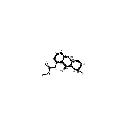 COC(=O)Cc1cccc2oc3ccc(C)cc3c(=O)c12